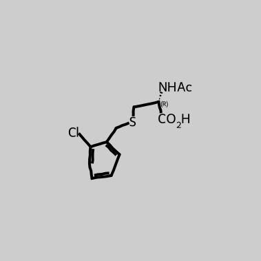 CC(=O)N[C@@H](CSCc1ccccc1Cl)C(=O)O